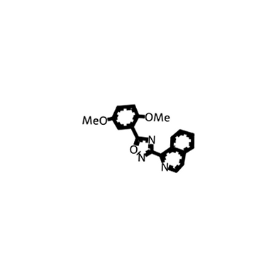 COc1ccc(OC)c(-c2nc(-c3nccc4ccccc34)no2)c1